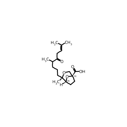 CC(C)=CCC(=O)C(C)CCC[C@]1(C)OC[C@]2(C(=O)O)CC[C@H]1O2